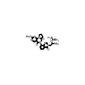 CSc1ncc2c(n1)N1CCC[C@H]1CN(c1cccc3c(=O)n(CC(O[SiH](C)C)C(C)(C)C)cnc13)C2=O